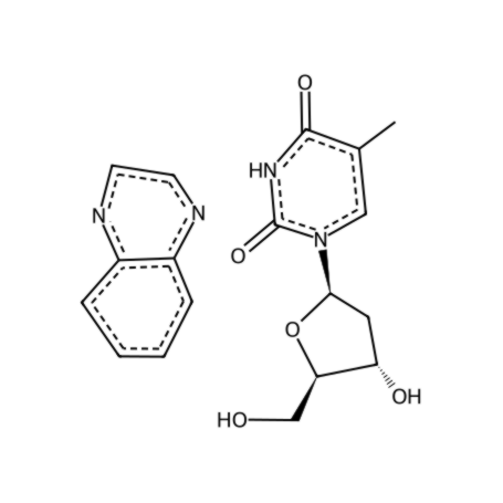 Cc1cn([C@H]2C[C@H](O)[C@@H](CO)O2)c(=O)[nH]c1=O.c1ccc2nccnc2c1